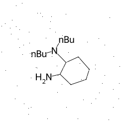 CCCCN(CCCC)C1CCCCC1N